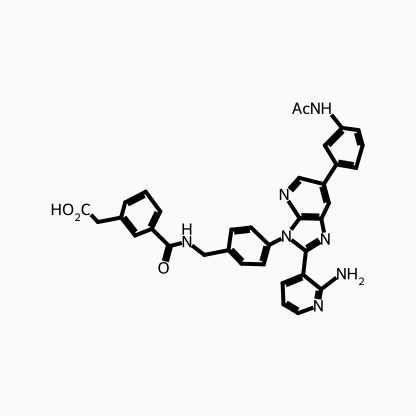 CC(=O)Nc1cccc(-c2cnc3c(c2)nc(-c2cccnc2N)n3-c2ccc(CNC(=O)c3cccc(CC(=O)O)c3)cc2)c1